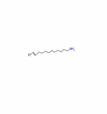 CC/C=C/CCCCCCCCCCN